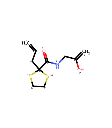 C=CCC1(C(=O)NCC(=C)O)SCCS1